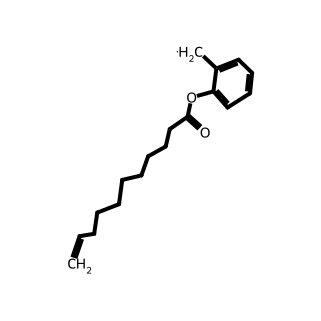 [CH2]c1ccccc1OC(=O)CCCCCCCCC=C